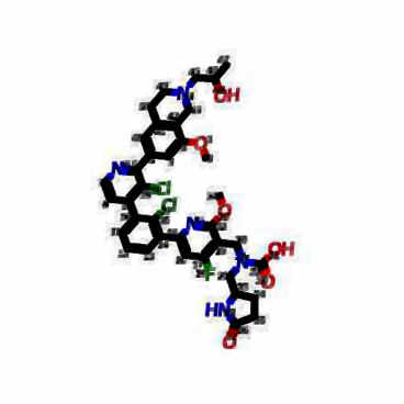 COc1cc(-c2nccc(-c3cccc(-c4cc(F)c(CN(CC5CCC(=O)N5)C(=O)O)c(OC)n4)c3Cl)c2Cl)cc2c1CN(CC(C)O)CC2